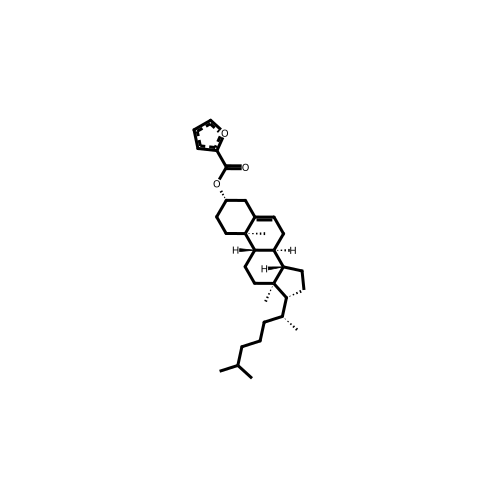 CC(C)CCC[C@@H](C)[C@H]1CC[C@H]2[C@@H]3CC=C4C[C@@H](OC(=O)c5ccco5)CC[C@]4(C)[C@H]3CC[C@]12C